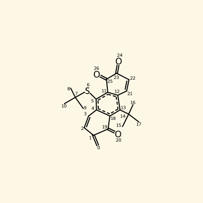 C=C1C=Cc2c(SC(C)(C)C)c3c(c(C(C)(C)C)c2C1=O)C=CC(=O)C3=O